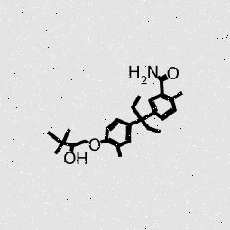 CCC(CC)(c1ccc(OCC(O)C(C)(C)C)c(C)c1)c1ccc(C)c(C(N)=O)c1